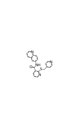 O=C(Nc1ccc2ncccc2c1)c1cccnc1SCc1ccncc1